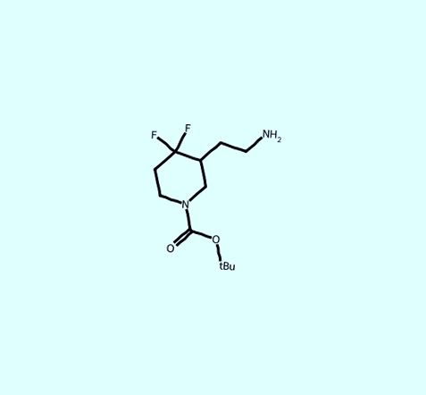 CC(C)(C)OC(=O)N1CCC(F)(F)C(CCN)C1